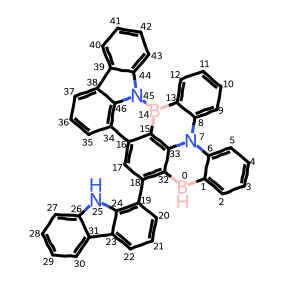 B1c2ccccc2N2c3ccccc3B3c4c(cc(-c5cccc6c5[nH]c5ccccc56)c1c42)-c1cccc2c4ccccc4n3c12